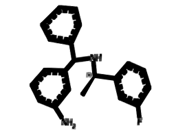 C[C@@H](NC(c1ccccc1)c1cccc(N)c1)c1cccc(F)c1